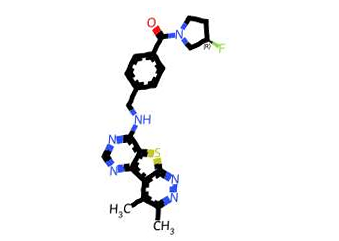 Cc1nnc2sc3c(NCc4ccc(C(=O)N5CC[C@@H](F)C5)cc4)ncnc3c2c1C